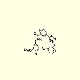 COc1cc(CNC(=O)c2cc(-c3nnn(CC4CN(C(C)=O)CCO4)n3)cc(C)n2)ccc1F